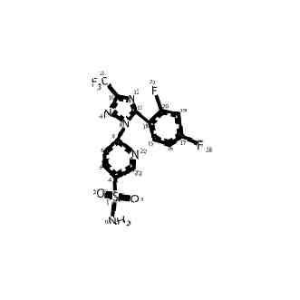 NS(=O)(=O)c1ccc(-n2nc(C(F)(F)F)nc2-c2ccc(F)cc2F)nc1